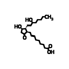 CCCCCC(O)C=C[C@H]1[C@H](O)CC(=O)[C@@H]1CC=CCCCCCC(=O)O